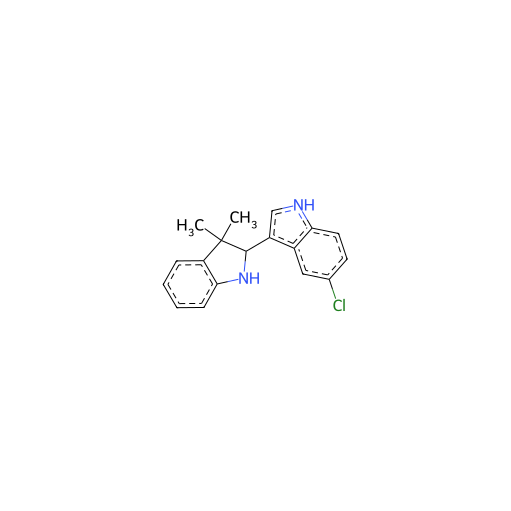 CC1(C)c2ccccc2NC1c1c[nH]c2ccc(Cl)cc12